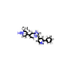 CC1CC(c2ccn3c(-c4ccnc(-c5ccccc5)c4)cnc3c2)=CCN1